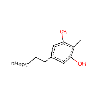 CCCCCCCCCc1cc(O)c(C)c(O)c1